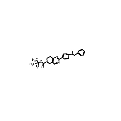 CC(C)(C)OC(=O)N1CCc2nc(-c3ccc(C(F)Cc4ccccc4)cc3)ncc2C1